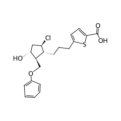 O=C(O)c1ccc(CCC[C@@H]2[C@@H](COc3ccccc3)[C@H](O)C[C@H]2Cl)s1